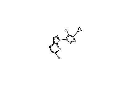 Clc1c(-n2ccc3ccc(Br)nc32)nsc1C1CC1